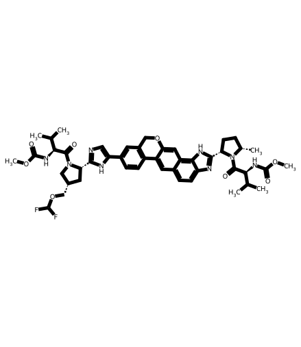 COC(=O)N[C@H](C(=O)N1C[C@@H](COC(F)F)C[C@H]1c1ncc(-c2ccc3c(c2)COc2cc4c(ccc5nc([C@@H]6CC[C@H](C)N6C(=O)[C@@H](NC(=O)OC)C(C)C)[nH]c54)cc2-3)[nH]1)C(C)C